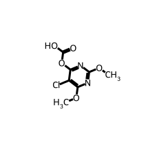 COc1nc(OC)c(Cl)c(OC(=O)O)n1